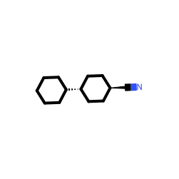 N#C[C@H]1CC[C@H](C2CCCCC2)CC1